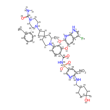 CCOc1nc2[nH]cc(F)c2cc1Oc1cc(N2CCC3(CC2)CC(N2CCN(C(=O)N(C)C)C[C@H]2c2ccccc2C(C)C)C3)ccc1C(=O)NS(=O)(=O)c1cnc(NCC2CCC(C)(O)CC2)c([N+](=O)[O-])c1